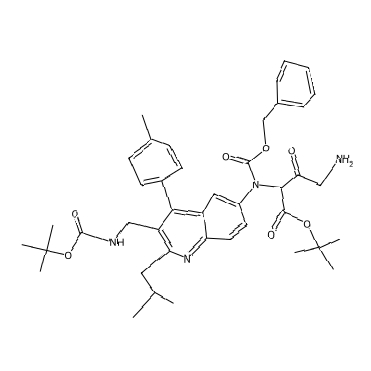 Cc1ccc(-c2c(CNC(=O)OC(C)(C)C)c(CC(C)C)nc3ccc(N(C(=O)OCc4ccccc4)C(C(=O)CN)C(=O)OC(C)(C)C)cc23)cc1